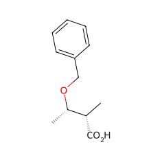 C[C@H](OCc1ccccc1)[C@H](C)C(=O)O